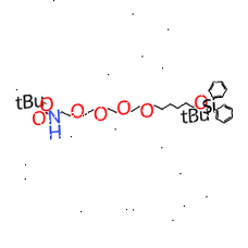 CC(C)(C)OC(=O)NCCOCCOCCOCCOCCCCCCO[Si](c1ccccc1)(c1ccccc1)C(C)(C)C